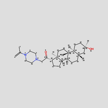 C=C(C)N1CCN(CC(=O)[C@H]2CC[C@H]3[C@@H]4CC[C@H]5C[C@](C)(O)CC[C@@H]5[C@H]4CC[C@]23C)CC1